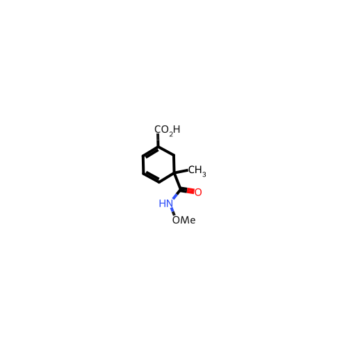 CONC(=O)C1(C)C=CC=C(C(=O)O)C1